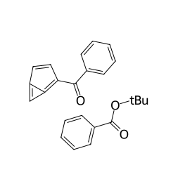 CC(C)(C)OC(=O)c1ccccc1.O=C(c1ccccc1)c1ccc2cc1-2